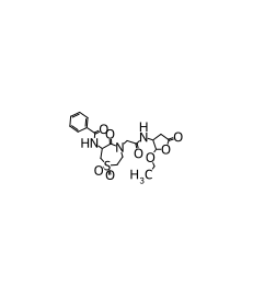 CCOC1OC(=O)CC1NC(=O)CN1CCS(=O)(=O)CC(NC(=O)c2ccccc2)C1=O